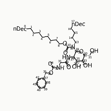 CCCCCCCCCCCCCCCCCCOC(=O)N(CCCCCCCCCCCCCC)[C@@H]1O[C@H](CO)[C@@H](O)[C@H](O)[C@H]1NC(=O)CNC(=O)OCc1ccccc1